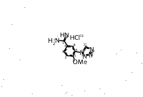 COc1ccc(C(=N)N)cc1-n1cnnn1.Cl